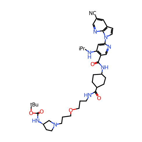 CC(C)Nc1cc(-n2ccc3cc(C#N)cnc32)ncc1C(=O)NC1CCC(C(=O)NCCCOCCCN2CC[C@@H](NC(=O)OC(C)(C)C)C2)CC1